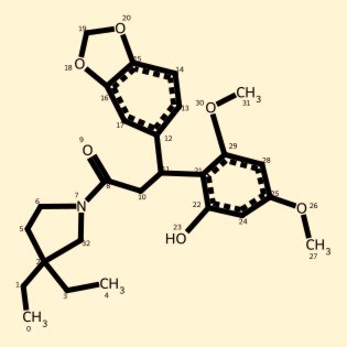 CCC1(CC)CCN(C(=O)CC(c2ccc3c(c2)OCO3)c2c(O)cc(OC)cc2OC)C1